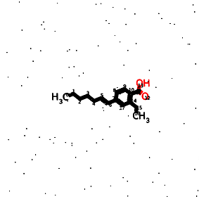 CCCCCC=Cc1ccc(C(=O)O)c(CC)c1